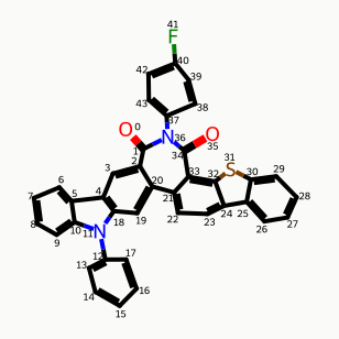 O=c1c2cc3c4ccccc4n(-c4ccccc4)c3cc2c2ccc3c4ccccc4sc3c2c(=O)n1-c1ccc(F)cc1